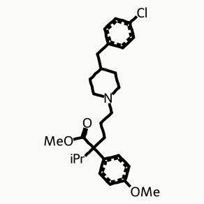 COC(=O)C(CCCN1CCC(Cc2ccc(Cl)cc2)CC1)(c1ccc(OC)cc1)C(C)C